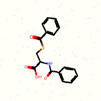 O=C(NC(CSC(=O)c1ccccc1)C(=O)O)c1ccccc1